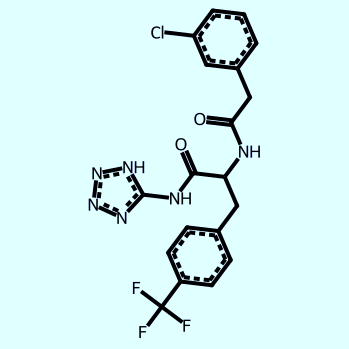 O=C(Cc1cccc(Cl)c1)NC(Cc1ccc(C(F)(F)F)cc1)C(=O)Nc1nnn[nH]1